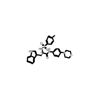 Cc1ccc(S(=O)(=O)N[C@H](Cc2c[nH]c3ccccc23)C(=O)Nc2ccc(N3CCOCC3)cc2)cc1